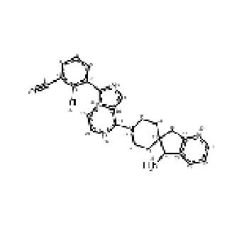 N#Cc1cccc(-c2ncc3c(N4CCC5(CC4)Cc4ncccc4C5N)nccn23)c1Cl